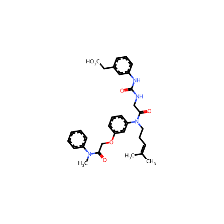 CC(C)=CCCN(C(=O)CNC(=O)Nc1cccc(CC(=O)O)c1)c1cccc(OCC(=O)N(C)c2ccccc2)c1